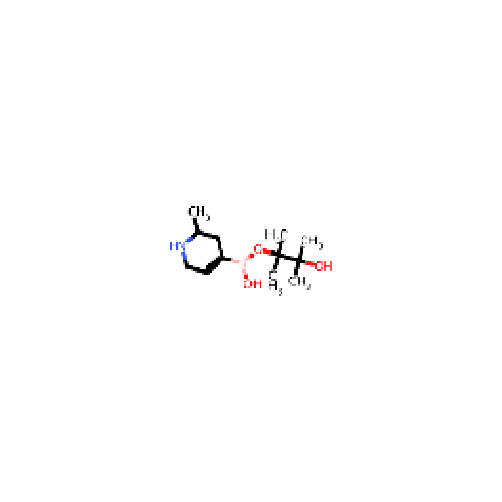 CC1CC(B(O)OC(C)(C)C(C)(C)O)=CCN1